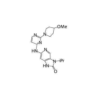 COC1CCN(c2nccc(Nc3cc4[nH]c(=O)n(C(C)C)c4cn3)n2)CC1